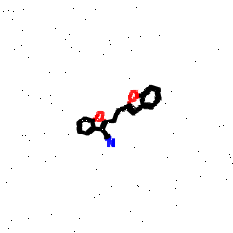 N#Cc1c(CCc2cc3ccccc3o2)oc2ccccc12